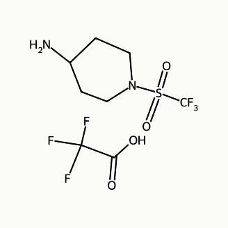 NC1CCN(S(=O)(=O)C(F)(F)F)CC1.O=C(O)C(F)(F)F